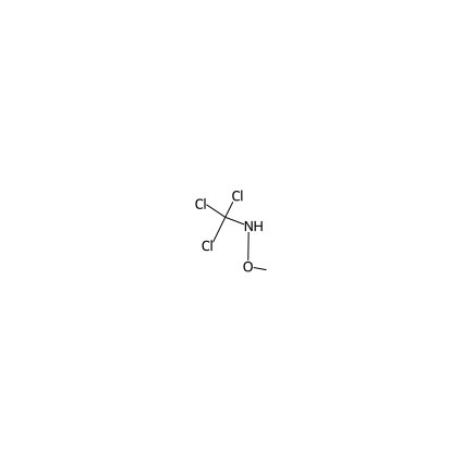 CONC(Cl)(Cl)Cl